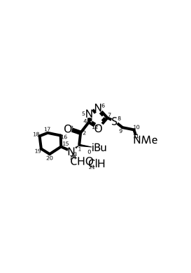 CC[C@H](C)[C@@H](C(=O)c1nnc(SCCNC)o1)N(C=O)C1CCCCC1.Cl